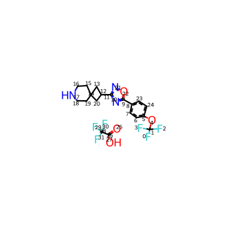 FC(F)(F)Oc1ccc(-c2nc(C3CC4(CCNCC4)C3)no2)cc1.O=C(O)C(F)(F)F